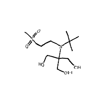 CC(C)(C)N(CCS(C)(=O)=O)C(CO)(CO)CO